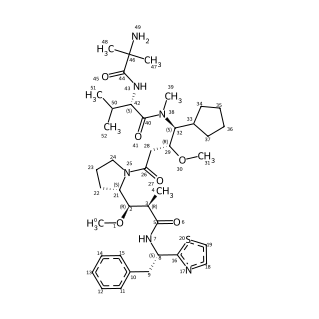 CO[C@H]([C@@H](C)C(=O)N[C@@H](Cc1ccccc1)c1nccs1)[C@@H]1CCCN1C(=O)C[C@@H](OC)[C@H](C1CCCC1)N(C)C(=O)[C@@H](NC(=O)C(C)(C)N)C(C)C